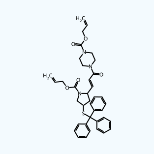 C=CCOC(=O)N1CCN(C(=O)C=CC2CC(SC(c3ccccc3)(c3ccccc3)c3ccccc3)CN2C(=O)OCC=C)CC1